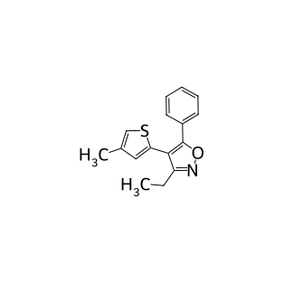 CCc1noc(-c2ccccc2)c1-c1cc(C)cs1